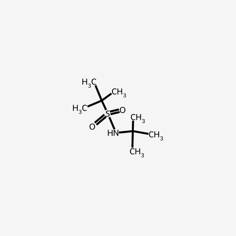 CC(C)(C)NS(=O)(=O)C(C)(C)C